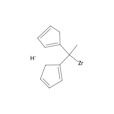 C[C]([Zr])(C1=CC=CC1)C1=CC=CC1.[H-]